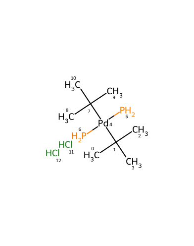 C[C](C)(C)[Pd]([PH2])([PH2])[C](C)(C)C.Cl.Cl